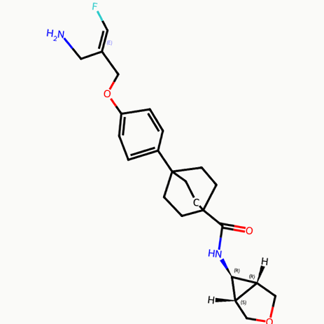 NC/C(=C\F)COc1ccc(C23CCC(C(=O)N[C@H]4[C@@H]5COC[C@@H]54)(CC2)CC3)cc1